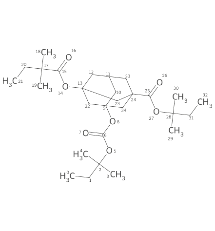 CCC(C)(C)OC(=O)OC12CC3CC(OC(=O)C(C)(C)CC)(C1)CC(C(=O)OC(C)(C)CC)(C3)C2